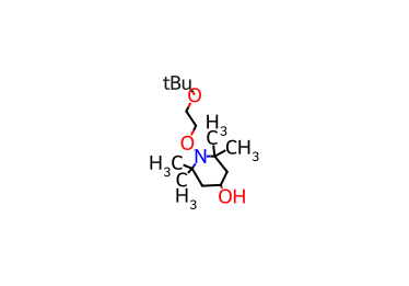 CC(C)(C)OCCON1C(C)(C)CC(O)CC1(C)C